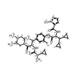 CCn1nccc1C(=O)N[C@H](C(=O)Nc1ccc([C@H](C)[C@@H](NC(=O)N(C)C2CC2)C(=O)N2CCN(C)[C@H](C)C2)cc1F)C(C1CC1)C1CC1